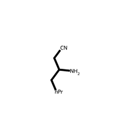 CCCCC(N)CC#N